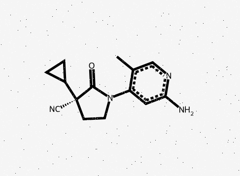 Cc1cnc(N)cc1N1CC[C@@](C#N)(C2CC2)C1=O